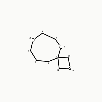 C1COCCOC2(C1)CSC2